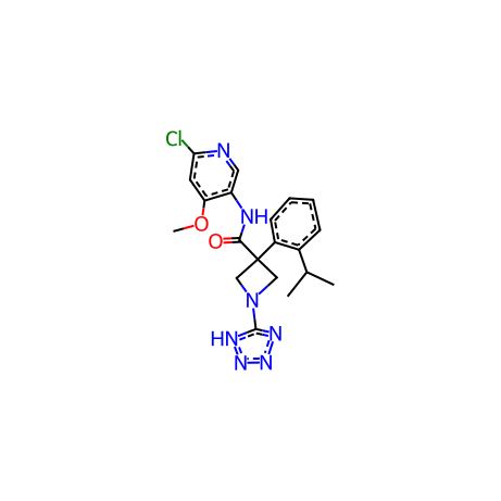 COc1cc(Cl)ncc1NC(=O)C1(c2ccccc2C(C)C)CN(c2nnn[nH]2)C1